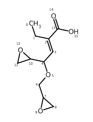 CCC(=CC(OCC1CO1)C1CO1)C(=O)O